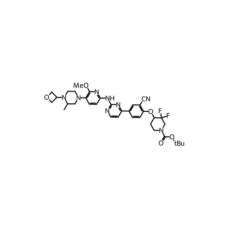 COc1nc(Nc2nccc(-c3ccc(OC4CCN(C(=O)OC(C)(C)C)CC4(F)F)c(C#N)c3)n2)ccc1N1CCN(C2COC2)C(C)C1